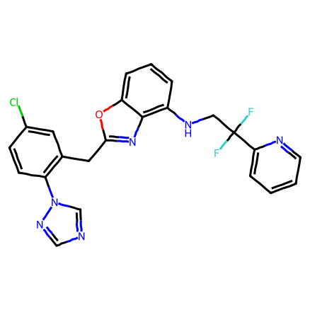 FC(F)(CNc1cccc2oc(Cc3cc(Cl)ccc3-n3cncn3)nc12)c1ccccn1